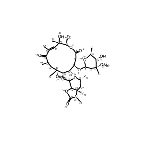 CC[C@H]1OC(=O)[C@H](C)[C@@H](OC2C[C@@](C)(OC)[C@@H](O)[C@H](C)O2)[C@H](C)[C@@H](OC2O[C@H](C)C[C@H]3C2OC(=O)N3C)[C@](C)(OC)C[C@@H](C)C(=O)/C(C)=C/[C@]1(C)O